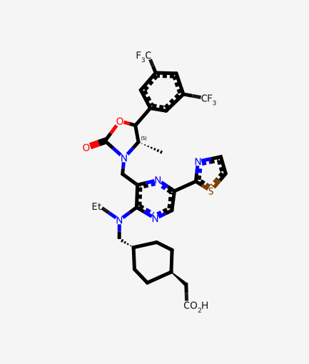 CCN(C[C@H]1CC[C@H](CC(=O)O)CC1)c1ncc(-c2nccs2)nc1CN1C(=O)OC(c2cc(C(F)(F)F)cc(C(F)(F)F)c2)[C@@H]1C